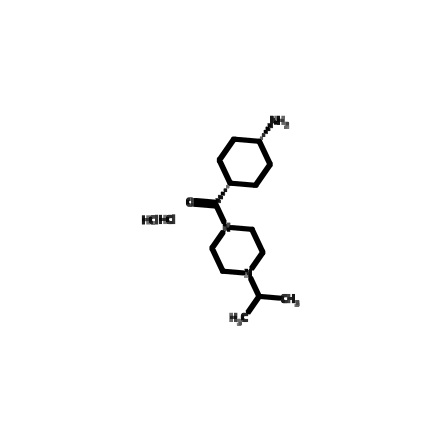 CC(C)N1CCN(C(=O)[C@H]2CC[C@@H](N)CC2)CC1.Cl.Cl